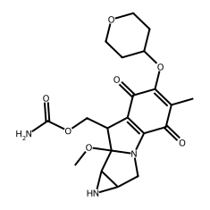 COC12C(COC(N)=O)C3=C(C(=O)C(C)=C(OC4CCOCC4)C3=O)N1CC1NC12